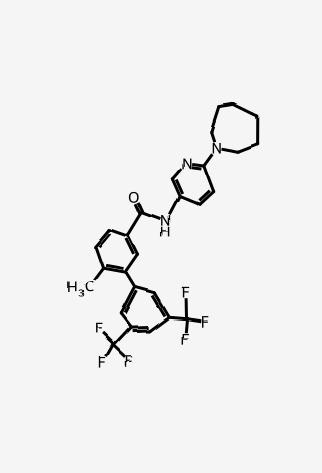 Cc1ccc(C(=O)Nc2ccc(N3CCCCCC3)nc2)cc1-c1cc(C(F)(F)F)cc(C(F)(F)F)c1